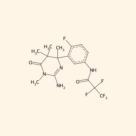 CN1C(=O)C(C)(C)C(C)(c2cc(NC(=O)C(F)(F)C(F)(F)F)ccc2F)N=C1N